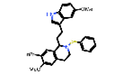 CCCc1cc2c(cc1OC)CCN(Sc1ccccc1)C2CCc1c[nH]c2ccc(OC)cc12